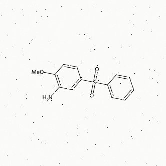 COc1ccc(S(=O)(=O)c2ccccc2)cc1N